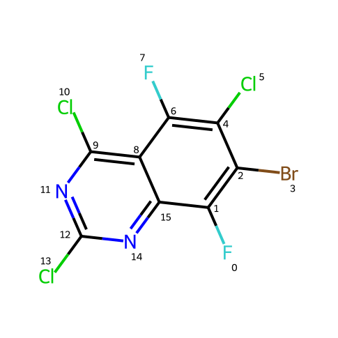 Fc1c(Br)c(Cl)c(F)c2c(Cl)nc(Cl)nc12